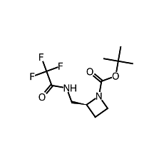 CC(C)(C)OC(=O)N1CC[C@H]1CNC(=O)C(F)(F)F